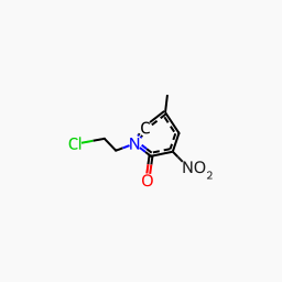 Cc1cc([N+](=O)[O-])c(=O)n(CCCl)c1